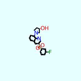 O=S(=O)(c1cccc(F)c1)c1cnc2c(N3CC[C@H](O)C3)cccc2c1